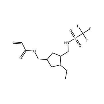 C=CC(=O)OCC1CC(CC)C(CNS(=O)(=O)C(F)(F)F)C1